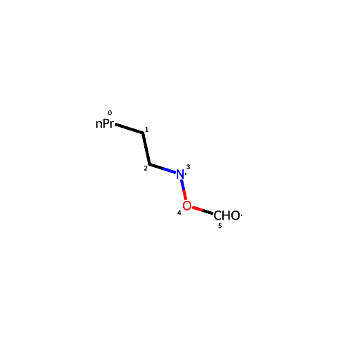 CCCCC[N]O[C]=O